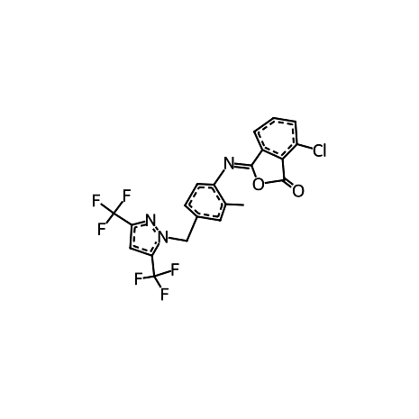 Cc1cc(Cn2nc(C(F)(F)F)cc2C(F)(F)F)ccc1/N=C1\OC(=O)c2c(Cl)cccc21